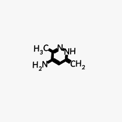 C=C1C=C(N)C(C)=NN1